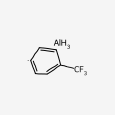 FC(F)(F)c1cc[c]cc1.[AlH3]